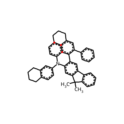 CC1(C)c2ccccc2-c2cc(-c3cc4c(cc3-c3ccccc3)CCCC4)c(N(c3ccccc3)c3ccc4c(c3)CCCC4)cc21